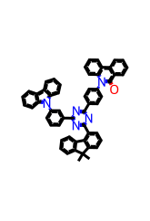 CC1(C)c2ccccc2-c2c(-c3nc(-c4ccc(-n5c(=O)c6ccccc6c6ccccc65)cc4)nc(-c4cccc(-n5c6ccccc6c6ccccc65)c4)n3)cccc21